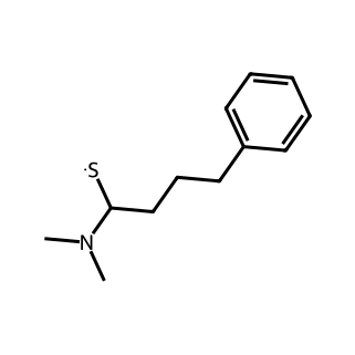 CN(C)C([S])CCCc1ccccc1